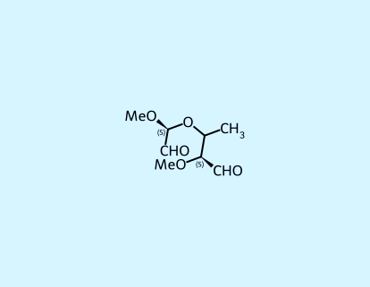 CO[C@H](C=O)OC(C)[C@@H](C=O)OC